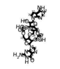 Nc1nc2c(ncn2C2OC3COP(=O)(O)OC4C(COP(=O)(O)OC2C3OCC(F)(F)F)OC(n2ccc3c(N)ncnc32)C4O)c(=O)[nH]1